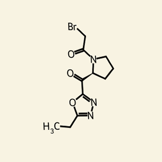 CCc1nnc(C(=O)[C@@H]2CCCN2C(=O)CBr)o1